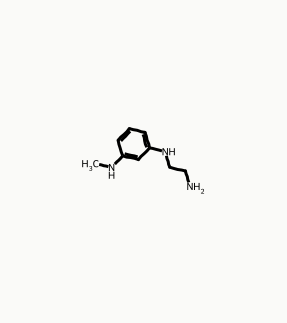 CNc1cccc(NCCN)c1